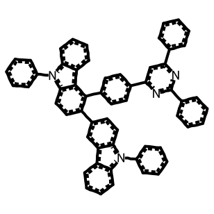 c1ccc(-c2cc(-c3ccc(-c4c(-c5ccc6c(c5)c5ccccc5n6-c5ccccc5)ccc5c4c4ccccc4n5-c4ccccc4)cc3)nc(-c3ccccc3)n2)cc1